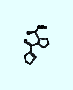 COC(=O)C1=C(C(=O)C2=CCCC2)CCC1